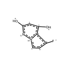 Oc1cc(O)c2c(F)ccn2n1